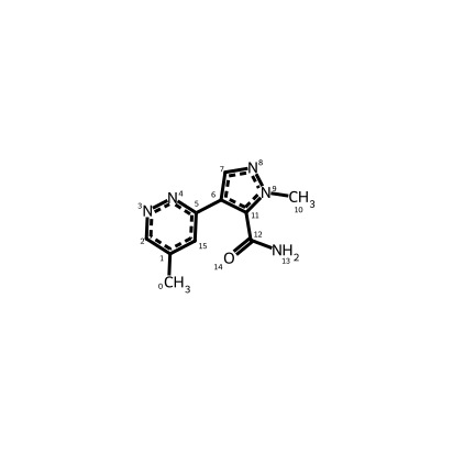 Cc1cnnc(-c2cnn(C)c2C(N)=O)c1